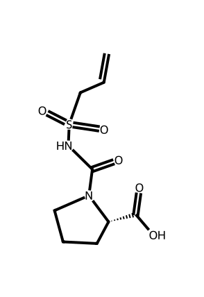 C=CCS(=O)(=O)NC(=O)N1CCC[C@H]1C(=O)O